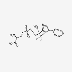 N[C@@H](CCS(=O)(=O)CCC(O)(c1cc(-c2ccccc2)sn1)C(F)(F)F)C(=O)O